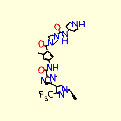 C#CCN1CC(c2cnc(C(=O)Nc3ccc(C(=O)N4CCN(C(=O)NC5CCNCC5)CC4)c(C)c3)n2C)C(C(F)(F)F)=N1